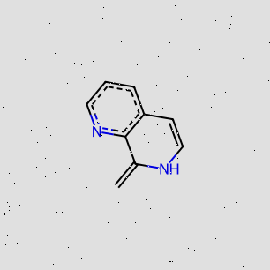 C=C1NC=Cc2cccnc21